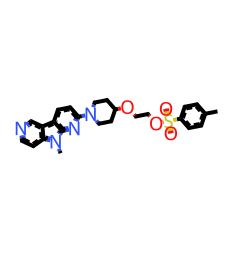 Cc1ccc(S(=O)(=O)OCCOC2CCN(c3ccc4c5cnccc5n(C)c4n3)CC2)cc1